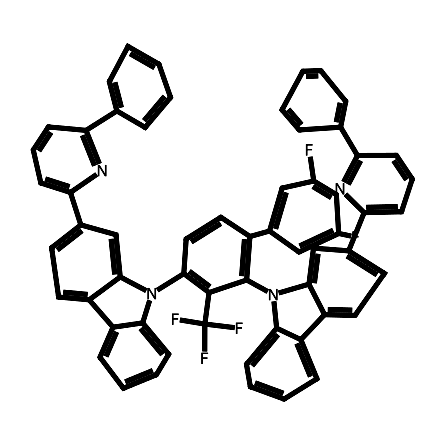 Fc1cc(F)cc(-c2ccc(-n3c4ccccc4c4ccc(-c5cccc(-c6ccccc6)n5)cc43)c(C(F)(F)F)c2-n2c3ccccc3c3ccc(-c4cccc(-c5ccccc5)n4)cc32)c1